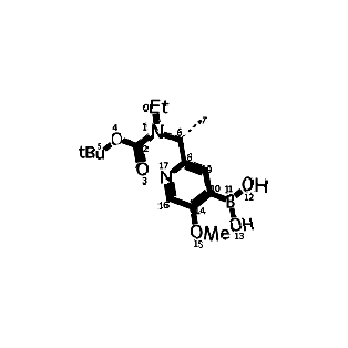 CCN(C(=O)OC(C)(C)C)[C@H](C)c1cc(B(O)O)c(OC)cn1